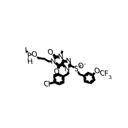 Cn1c(=O)n(CCCOPI)c(=O)c2c1nc([S+]([O-])Cc1cccc(OC(F)(F)F)c1)n2Cc1ccc(Cl)cc1